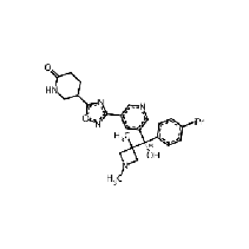 CC(C)c1ccc([C@](O)(c2cncc(-c3noc(C4CCC(=O)NC4)n3)c2)C2(C)CN(C)C2)cc1